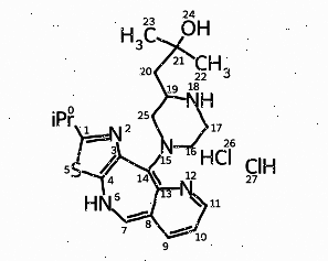 CC(C)c1nc2c(s1)NC=c1cccnc1=C2N1CCNC(CC(C)(C)O)C1.Cl.Cl